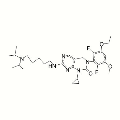 CCOc1cc(OC)c(F)c(N2Cc3cnc(NCCCCCN(C(C)C)C(C)C)nc3N(C3CC3)C2=O)c1F